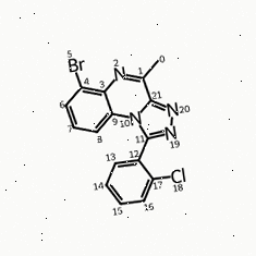 Cc1nc2c(Br)cccc2n2c(-c3ccccc3Cl)nnc12